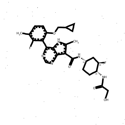 Cc1ccc(OCC2CC2)c(-c2ncnc3c(C(=O)N[C@H]4CC[C@@H](NC(=O)CO)[C@H](F)C4)c(C)[nH]c23)c1F